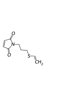 C=CSCCCN1C(=O)C=CC1=O